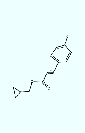 O=C(/C=C/c1ccc(Cl)cc1)OCC1CC1